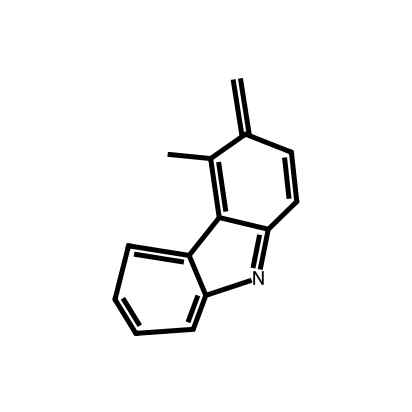 C=c1ccc2c(c1C)-c1ccccc1N=2